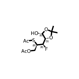 CC(=O)OC[C@@H](SC(C)=O)[C@H](F)[C@H]1OC(C)(C)O[C@H]1O